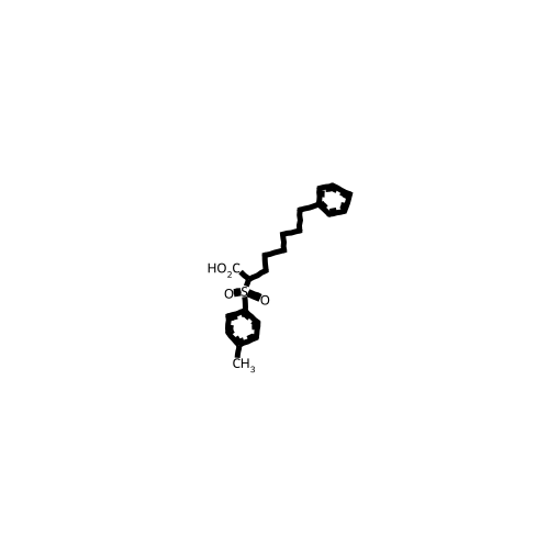 Cc1ccc(S(=O)(=O)C(CCCCCCc2ccccc2)C(=O)O)cc1